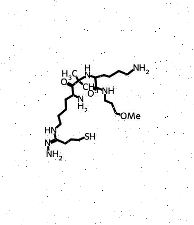 COCCCNC(=O)C(CCCCN)NC(C)(C)C(=O)C(N)CCCCN/C(CCCS)=N/N